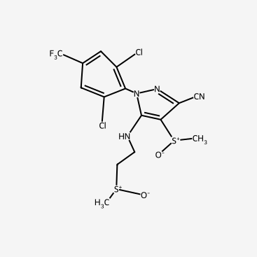 C[S+]([O-])CCNc1c([S+](C)[O-])c(C#N)nn1-c1c(Cl)cc(C(F)(F)F)cc1Cl